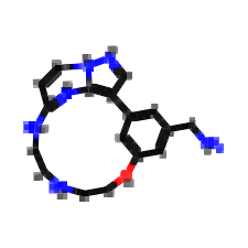 NCc1cc2cc(c1)-c1cnn3ccc(nc13)NCCNCCO2